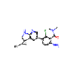 CC(C)[C@@H]1C[C@@]12CNc1ncc(-c3ccc(N)c(C(=O)N(C)C)c3F)cc12